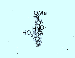 COC1CN(c2ccc(C(=O)Nc3scc(C4CCc5ccccc5C4)c3C(=O)O)cc2)C1